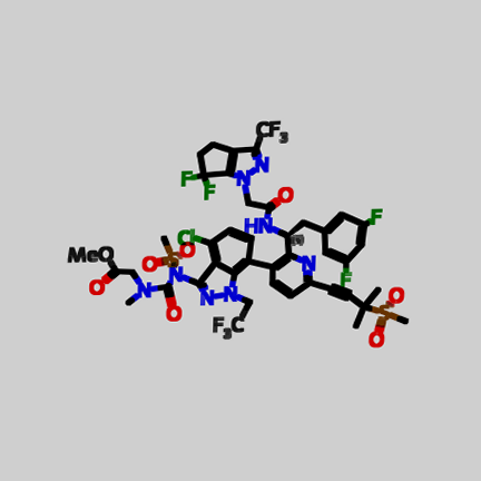 COC(=O)CN(C)C(=O)N(c1nn(CC(F)(F)F)c2c(-c3ccc(C#CC(C)(C)S(C)(=O)=O)nc3[C@H](Cc3cc(F)cc(F)c3)NC(=O)Cn3nc(C(F)(F)F)c4c3C(F)(F)CC4)ccc(Cl)c12)S(C)(=O)=O